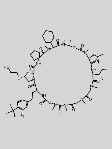 CC[C@H](C)[C@@H]1NC(=O)[C@H](CC(C)C)N(C)C(=O)C[C@@H](C)N(C)C(=O)C(C2CCCCC2)N(C)C(=O)C2(CCCC2)NC(=O)[C@@H]2C[C@@H](OCCO)CN2C(=O)[C@H](CCc2ccc(C(F)(F)F)c(Cl)c2)NC(=O)CN(C)C(=O)N(C)C(=O)CN(C)C(=O)CN(C)C1=O